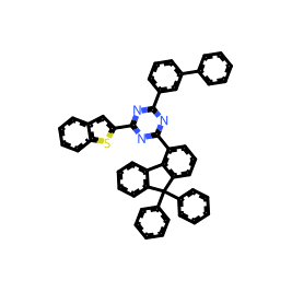 c1ccc(-c2cccc(-c3nc(-c4cc5ccccc5s4)nc(-c4cccc5c4-c4ccccc4C5(c4ccccc4)c4ccccc4)n3)c2)cc1